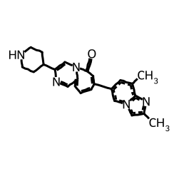 Cc1cn2cc(C3=C\C(=O)N4C=C(C5CCNCC5)N=C\C4=C/C=C/3)cc(C)c2n1